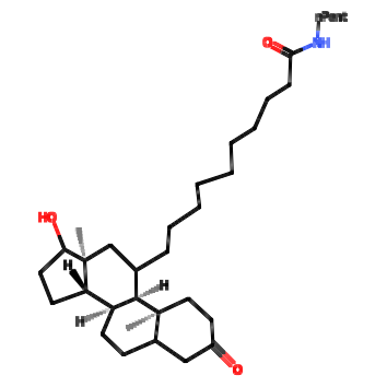 CCCCCNC(=O)CCCCCCCCCC1C[C@]2(C)C(O)CC[C@H]2[C@@H]2CCC3CC(=O)CC[C@]3(C)[C@H]12